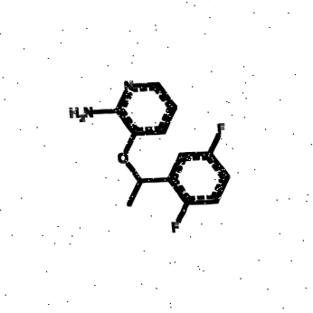 CC(Oc1cccnc1N)c1cc(F)ccc1F